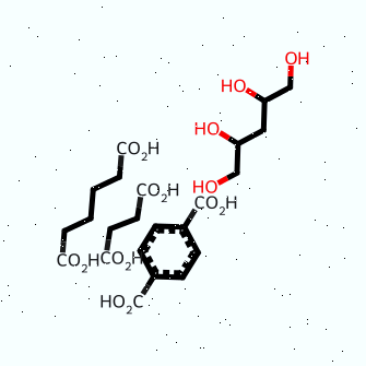 O=C(O)CCC(=O)O.O=C(O)CCCCC(=O)O.O=C(O)c1ccc(C(=O)O)cc1.OCC(O)CC(O)CO